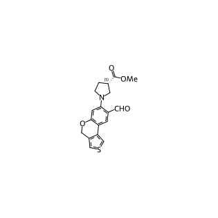 COC(=O)[C@H]1CCN(c2cc3c(cc2C=O)-c2cscc2CO3)C1